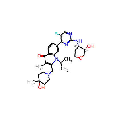 Cc1c(CN2CCC(C)(O)CC2)n(C(C)C)c2cc(-c3nc(N[C@@H]4CCOC[C@H]4O)ncc3F)ccc2c1=O